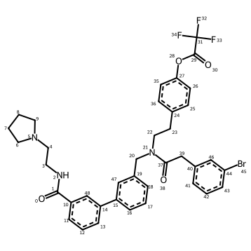 O=C(NCCN1CCCC1)c1cccc(-c2cccc(CN(CCc3ccc(OC(=O)C(F)(F)F)cc3)C(=O)Cc3cccc(Br)c3)c2)c1